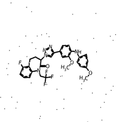 COc1ccc(Nc2ccc(-c3cn(C4CCc5c(F)cccc5N(CC(F)(F)F)C4=O)nn3)cc2OC)cc1